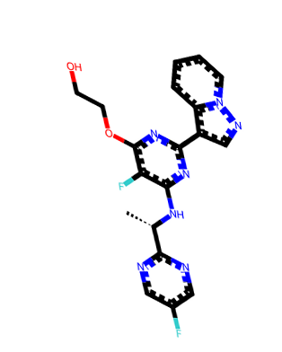 C[C@H](Nc1nc(-c2cnn3ccccc23)nc(OCCO)c1F)c1ncc(F)cn1